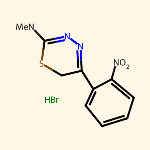 Br.CNC1=NN=C(c2ccccc2[N+](=O)[O-])CS1